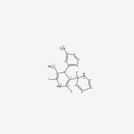 CC1=C(C(=O)O)C(c2cccc([N+](=O)[O-])c2)C(C2(C)C=CC=CN2)=C(C)N1